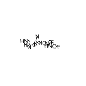 N#CCC1(n2ccc(-c3ncnc4[nH]ccc34)c2)CN(C2CCN(C(=O)Nc3ccc(F)cc3F)CC2)C1